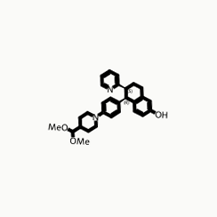 COC(OC)C1CCN(c2ccc([C@@H]3c4ccc(O)cc4CC[C@@H]3c3ccccn3)cc2)CC1